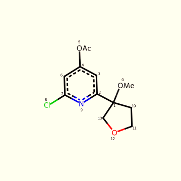 COC1(c2cc(OC(C)=O)cc(Cl)n2)CCOC1